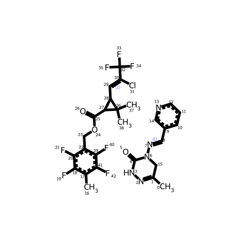 CC1=NNC(=O)N(/N=C/c2cccnc2)C1.Cc1c(F)c(F)c(COC(=O)C2C(/C=C(\Cl)C(F)(F)F)C2(C)C)c(F)c1F